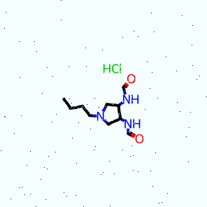 CCCCN1CC(NC=O)C(NC=O)C1.Cl